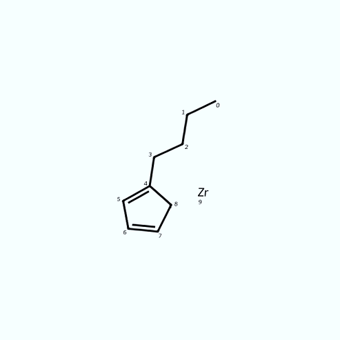 CCCCC1=CC=C[CH]1.[Zr]